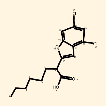 CCCCCCC(C(=O)O)c1cc2c(Cl)cc(Cl)cc2[nH]1